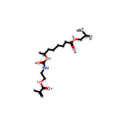 C=C(C)C(=O)OCCNC(=O)OC(C)CCCCCC(=O)OCC(CC)CCCC